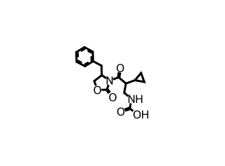 O=C(O)NCC(C(=O)N1C(=O)OCC1Cc1ccccc1)C1CC1